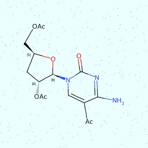 CC(=O)OC[C@@H]1C[C@@H](OC(C)=O)[C@H](n2cc(C(C)=O)c(N)nc2=O)O1